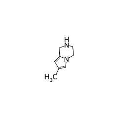 Cc1cc2n(c1)CCNC2